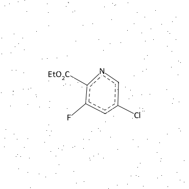 CCOC(=O)c1ncc(Cl)cc1F